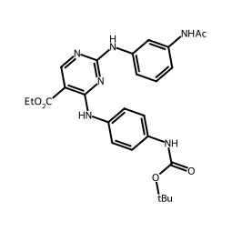 CCOC(=O)c1cnc(Nc2cccc(NC(C)=O)c2)nc1Nc1ccc(NC(=O)OC(C)(C)C)cc1